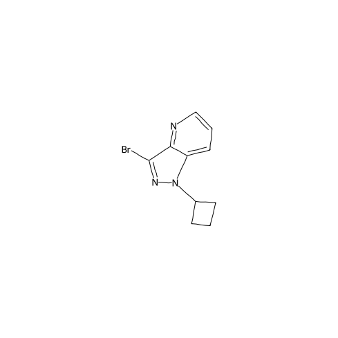 Brc1nn(C2CCC2)c2cccnc12